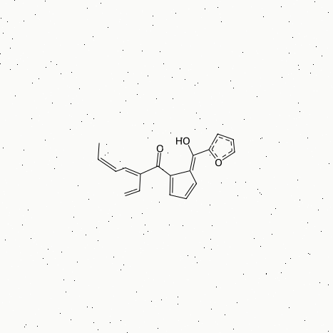 C=C/C(=C\C=C/C)C(=O)C1=CC=C/C1=C(/O)c1ccco1